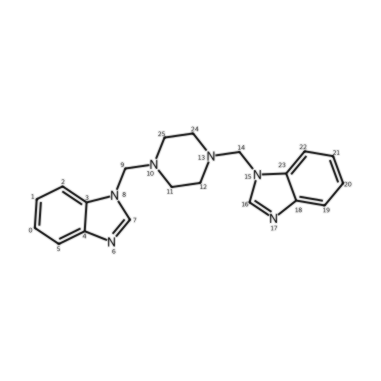 c1ccc2c(c1)ncn2CN1CCN(Cn2cnc3ccccc32)CC1